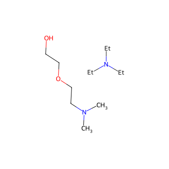 CCN(CC)CC.CN(C)CCOCCO